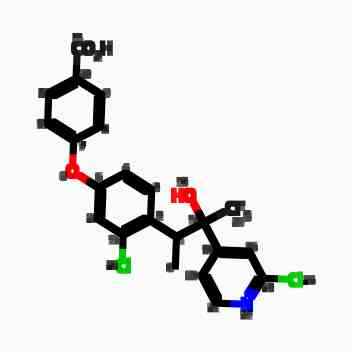 CC(c1ccc(Oc2ccc(C(=O)O)cc2)cc1Cl)C(O)(c1ccnc(Cl)c1)C(F)(F)F